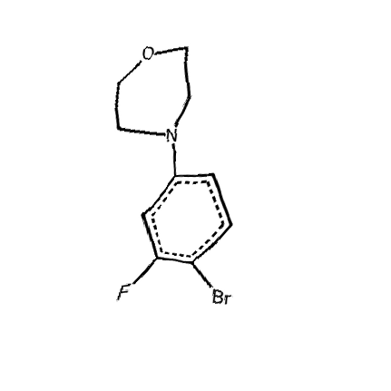 Fc1cc(N2CCOCC2)ccc1Br